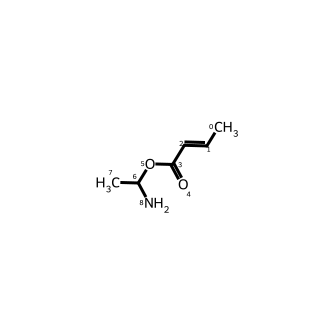 C/C=C/C(=O)OC(C)N